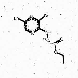 CCO[13C](=O)[13CH2]Nc1ncc(Br)nc1Br